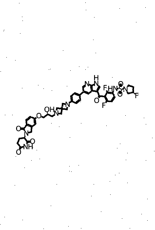 O=C1CC[C@@H](N2Cc3cc(OC[C@H](O)CN4CC5(C4)CN(c4ccc(-c6cnc7[nH]cc(C(=O)c8c(F)ccc(NS(=O)(=O)N9CC[C@@H](F)C9)c8F)c7c6)cc4)C5)ccc3C2=O)C(=O)N1